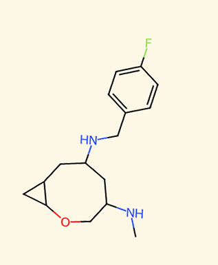 CNC1COC2CC2CC(NCc2ccc(F)cc2)C1